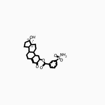 C[C@]12CCC3C4CC(OC(=O)c5cccc(S(N)(=O)=O)c5)C(=O)C=C4CCC3C1CC[C@@H]2O